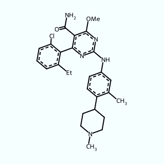 CCc1cccc(Cl)c1-c1nc(Nc2ccc(C3CCN(C)CC3)c(C)c2)nc(OC)c1C(N)=O